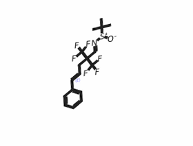 CC(C)(C)[S+]([O-])N=CC(C/C=C/c1ccccc1)(C(F)(F)F)C(F)(F)F